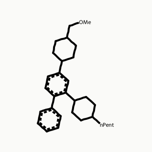 CCCCCC1CCC(c2cc(C3CCC(COC)CC3)ccc2-c2ccccc2)CC1